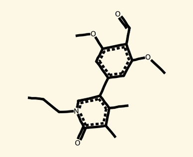 CCCn1cc(-c2cc(OC)c(C=O)c(OC)c2)c(C)c(C)c1=O